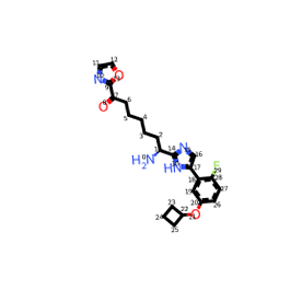 N[C@@H](CCCCCC(=O)c1ncco1)c1ncc(-c2cc(OC3CCC3)ccc2F)[nH]1